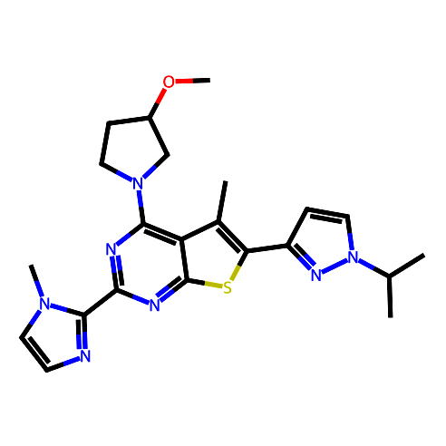 COC1CCN(c2nc(-c3nccn3C)nc3sc(-c4ccn(C(C)C)n4)c(C)c23)C1